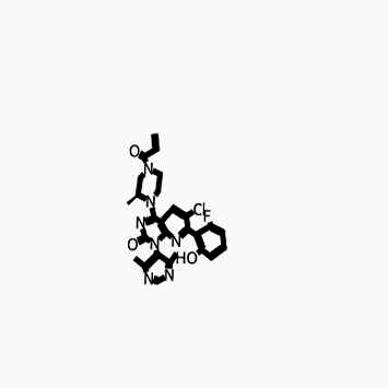 C=CC(=O)N1CCN(c2nc(=O)n(-c3c(C)ncnc3C)c3nc(-c4c(O)cccc4F)c(Cl)cc23)[C@@H](C)C1